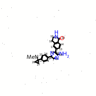 CNC1(c2ccc(-c3cnc(N)c(-c4ccc5c(c4)CCNC5=O)n3)cc2)CC1